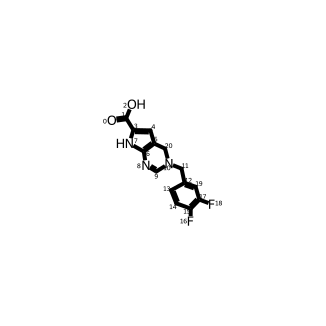 O=C(O)c1cc2c([nH]1)N=CN(Cc1ccc(F)c(F)c1)C2